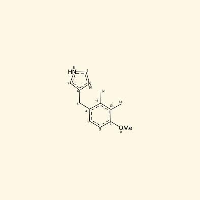 COc1ccc(Cc2c[nH]cn2)c(C)c1C